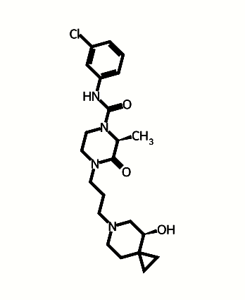 C[C@H]1C(=O)N(CCCN2CCC3(CC3)[C@H](O)C2)CCN1C(=O)Nc1cccc(Cl)c1